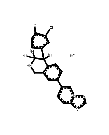 Cl.[2H]C1([2H])NCc2cc(-c3ccc4ncnn4c3)ccc2C1([2H])c1ccc(Cl)c(Cl)c1